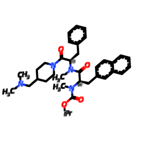 CC(C)OC(=O)N(C)[C@H](Cc1ccc2ccccc2c1)C(=O)N(C)[C@H](Cc1ccccc1)C(=O)N1CCC(CN(C)C)CC1